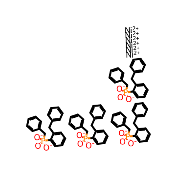 [Ni+2].[Ni+2].[Ni+2].[Ni+2].[Ni+2].[Ni+2].[O-]P([O-])([O-])(Cc1ccccc1)c1ccccc1Cc1ccccc1.[O-]P([O-])([O-])(Cc1ccccc1)c1ccccc1Cc1ccccc1.[O-]P([O-])([O-])(Cc1ccccc1)c1ccccc1Cc1ccccc1.[O-]P([O-])([O-])(Cc1ccccc1)c1ccccc1Cc1ccccc1